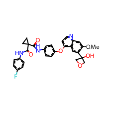 COc1cc2nccc(Oc3ccc(NC(=O)C4(C(=O)Nc5ccc(F)cc5)CC4)cc3)c2cc1C1(O)COC1